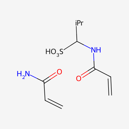 C=CC(=O)NC(C(C)C)S(=O)(=O)O.C=CC(N)=O